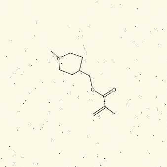 C=C(C)C(=O)OCC1CCN(C)CC1